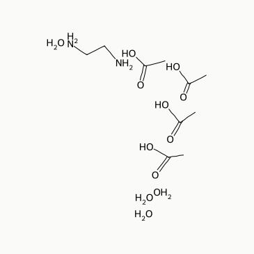 CC(=O)O.CC(=O)O.CC(=O)O.CC(=O)O.NCCN.O.O.O.O